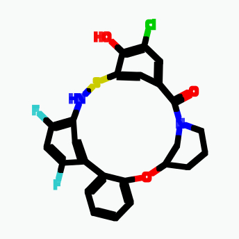 O=C1c2cc(Cl)c(O)c(c2)SNc2cc(c(F)cc2F)-c2ccccc2OC2CCCN1C2